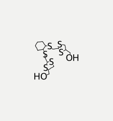 OCC1CSC(CSC2CCCCC2SCC2SCC(CO)S2)S1